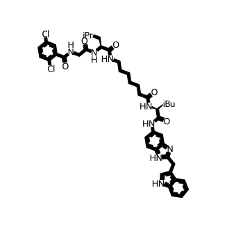 CC[C@H](C)[C@H](NC(=O)CCCCCCNC(=O)[C@H](CC(C)C)NC(=O)CNC(=O)c1cc(Cl)ccc1Cl)C(=O)Nc1ccc2[nH]c(Cc3c[nH]c4ccccc34)nc2c1